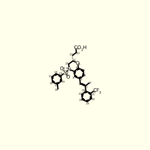 C/C(=C\c1ccc2c(c1)N(S(=O)(=O)c1cccc(C)c1)C[C@H](CCC(=O)O)O2)c1ccccc1C(F)(F)F